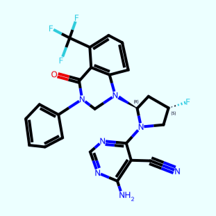 N#Cc1c(N)ncnc1N1C[C@@H](F)C[C@@H]1N1CN(c2ccccc2)C(=O)c2c1cccc2C(F)(F)F